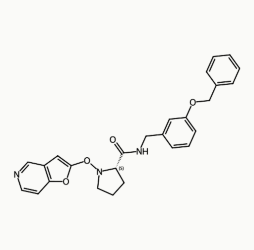 O=C(NCc1cccc(OCc2ccccc2)c1)[C@@H]1CCCN1Oc1cc2cnccc2o1